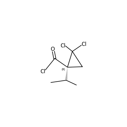 CC(C)[C@@]1(C(=O)Cl)CC1(Cl)Cl